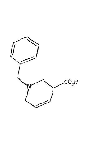 O=C(O)C1C=CCN(Cc2ccccc2)C1